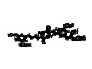 CCCCCCCCCCCCN(CCCC[C@H]1NC(=O)[C@@H](CCCCN(C[C@H](O)CCCCCCCCCC)C[C@@H](O)CCCCCCCCCC)NC1=O)C[C@@H](O)CCCCCCCCCC